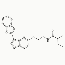 CCC(C)C(=O)NCCOc1ccc2ncc(-c3cc4ccccc4o3)n2n1